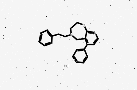 Cl.c1ccc(CCN2CCOc3nccc(-c4ccccc4)c3C2)cc1